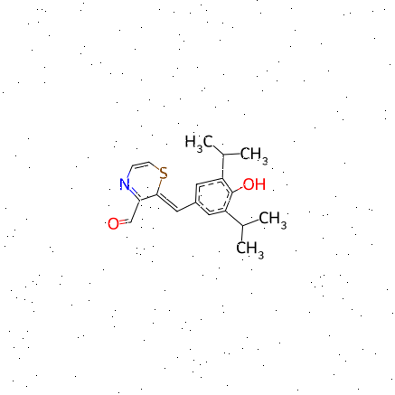 CC(C)c1cc(C=C2SC=CN=C2C=O)cc(C(C)C)c1O